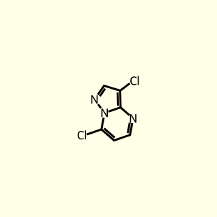 Clc1cnn2c(Cl)ccnc12